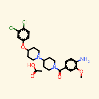 CC(=O)O.COc1cc(C(=O)N2CCC(N3CCC(Oc4ccc(Cl)c(Cl)c4)CC3)CC2)ccc1N